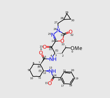 COCC[C@H](NC(=O)[C@@H]1CCCC[C@@H]1NC(=O)c1ccccc1)C(=O)c1nn(CC2CC2)c(=O)o1